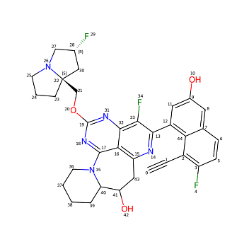 C#Cc1c(F)ccc2cc(O)cc(-c3nc4c5c(nc(OC[C@@]67CCCN6C[C@H](F)C7)nc5c3F)N3CCCCC3C(O)C4)c12